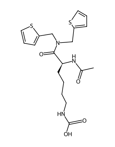 CC(=O)N[C@@H](CCCCNC(=O)O)C(=O)N(Cc1cccs1)Cc1cccs1